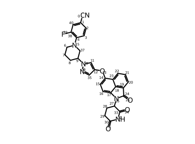 N#Cc1ccc(N2CCCC(n3cc(Oc4ccc5c6c(cccc46)C(=O)N5C4CCC(=O)NC4=O)cn3)C2)c(F)c1